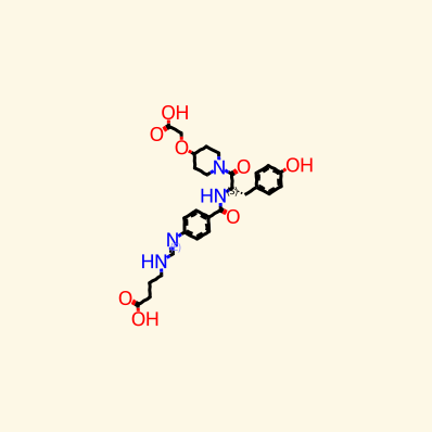 O=C(O)CCCN/C=N/c1ccc(C(=O)N[C@@H](Cc2ccc(O)cc2)C(=O)N2CCC(OCC(=O)O)CC2)cc1